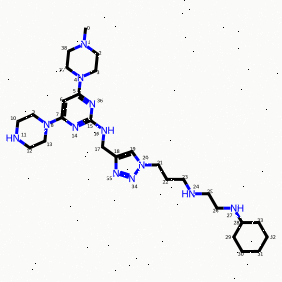 CN1CCN(c2cc(N3CCNCC3)nc(NCc3cn(CCCNCCNC4CCCCC4)nn3)n2)CC1